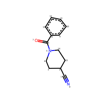 N#CC1CCN(C(=O)c2ccccc2)CC1